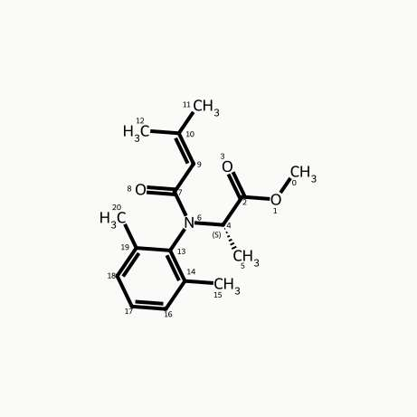 COC(=O)[C@H](C)N(C(=O)C=C(C)C)c1c(C)cccc1C